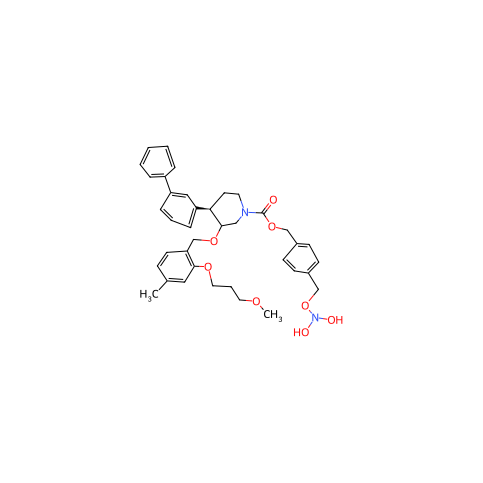 COCCCOc1cc(C)ccc1COC1CN(C(=O)OCc2ccc(CON(O)O)cc2)CC[C@@H]1c1cccc(-c2ccccc2)c1